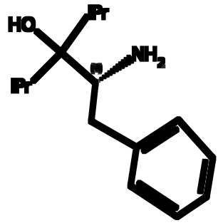 CC(C)C(O)(C(C)C)[C@H](N)Cc1ccccc1